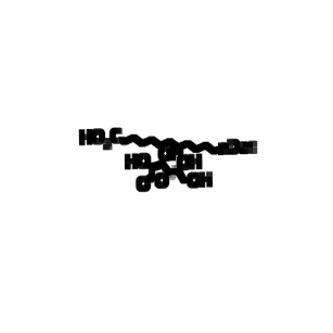 CCCCCCCCCCCCCCCCCCCCCC(=O)O.O=C1O[C@H]([C@@H](O)CO)C(O)=C1O